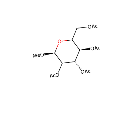 CO[C@H]1OC(COC(C)=O)[C@@H](OC(C)=O)[C@H](OC(C)=O)C1OC(C)=O